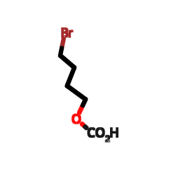 O=C(O)OCCCCBr